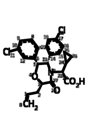 C=CC[C@H]1O[C@H](c2cccc(Cl)c2)[C@H](c2ccc(Cl)cc2)N([C@H](C(=O)O)C2CC2)C1=O